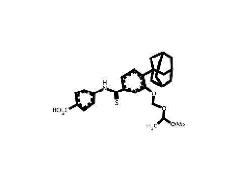 COC(C)OCOc1cc(C(=S)Nc2ccc(C(=O)O)cc2)ccc1C12CC3CC(CC(C3)C1)C2